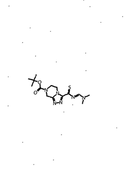 CN(C)C=NC(=S)c1nnc2n1CCN(C(=O)OC(C)(C)C)C2